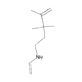 C=CNCCC(C)(C)C(=C)C